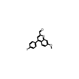 COc1ccc2c(-c3ccc(F)cc3)cc(C=O)nc2c1